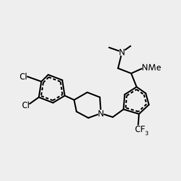 CNC(CN(C)C)c1ccc(C(F)(F)F)c(CN2CCC(c3ccc(Cl)c(Cl)c3)CC2)c1